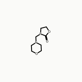 O=C1OCCN1CN1CCOCC1